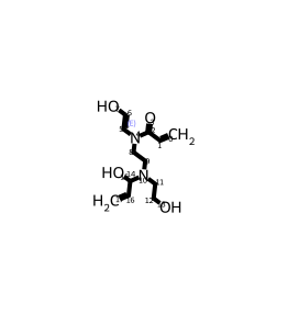 C=CC(=O)N(/C=C/O)CCN(CCO)C(O)C=C